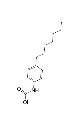 CCCCCCCc1ccc(NC(=O)O)cc1